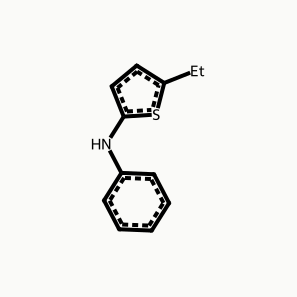 CCc1ccc(Nc2ccccc2)s1